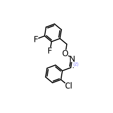 Fc1cccc(CO/N=[C]\c2ccccc2Cl)c1F